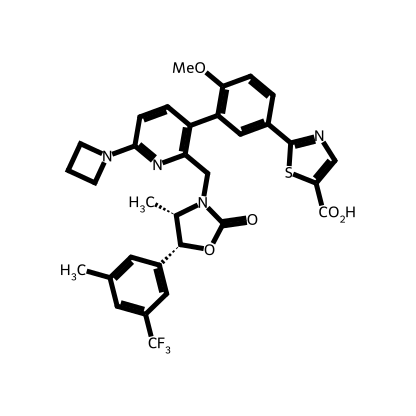 COc1ccc(-c2ncc(C(=O)O)s2)cc1-c1ccc(N2CCC2)nc1CN1C(=O)O[C@H](c2cc(C)cc(C(F)(F)F)c2)[C@@H]1C